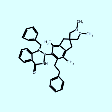 COCC1(COC)Cc2c(C)c(CCc3ccccc3)c(B3NC(=O)c4ccccc4N3Cc3ccccc3)c(C)c2C1